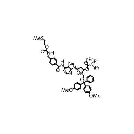 CCCOP(OC1C[C@H](n2cnc3c(NC(=O)c4ccc(CNC(=O)OCCSC)cc4)ncnc32)O[C@@H]1COC(c1ccccc1)(c1ccc(OC)cc1)c1ccc(OC)cc1)N(C(C)C)C(C)C